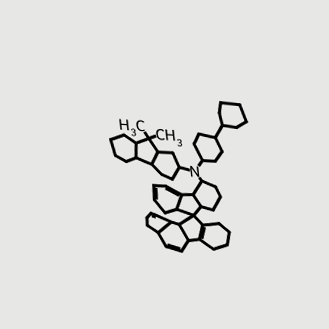 CC1(C)C2CCCCC2C2CCC(N(C3CCC(C4CCCCC4)CC3)C3CCCC4C3C3=CC=CCC3C43C4=C(CCCC4)C4C=CC5CCC=CC5C43)CC21